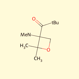 CNC1(C(=O)C(C)(C)C)COC1(C)C